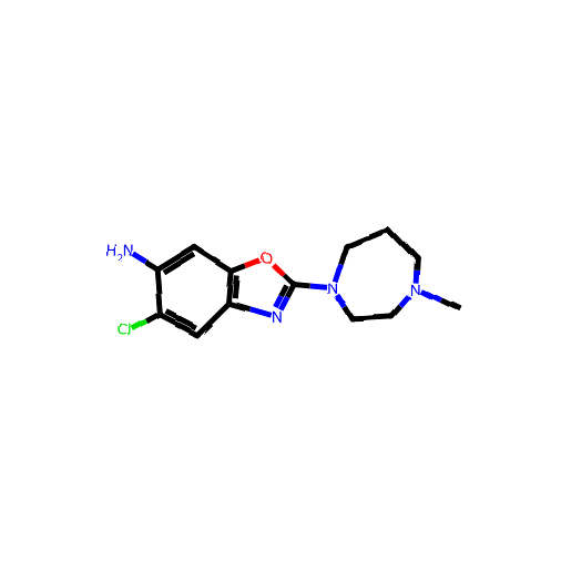 CN1CCCN(c2nc3cc(Cl)c(N)cc3o2)CC1